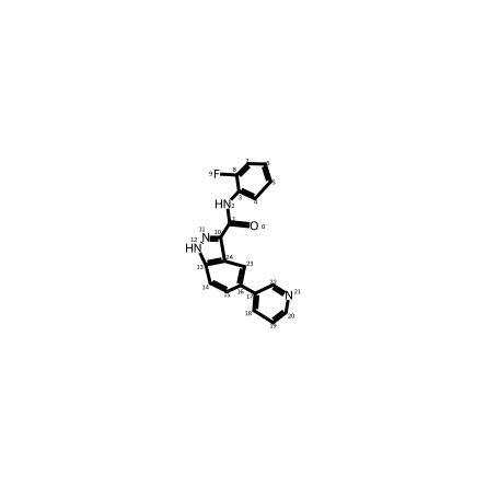 O=C(Nc1ccccc1F)c1n[nH]c2ccc(-c3cccnc3)cc12